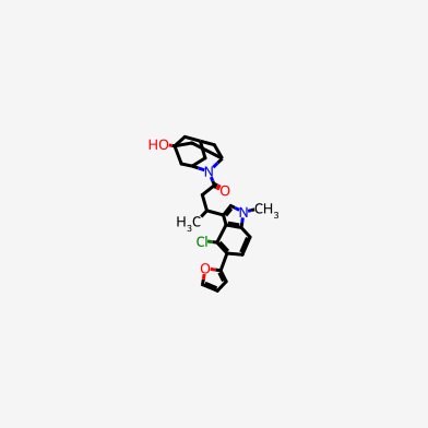 CC(CC(=O)N1C2CC3CC1CC(O)(C3)C2)c1cn(C)c2ccc(-c3ccco3)c(Cl)c12